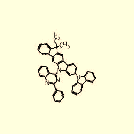 CC1(C)c2ccccc2-c2cc3c(cc21)c1ccc(-n2c4ccccc4c4ccccc42)cc1n3-c1nc(-c2ccccc2)nc2ccccc12